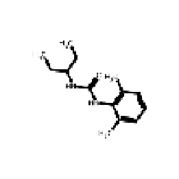 CCC(CC)NC(=O)Nc1c(C)cccc1C